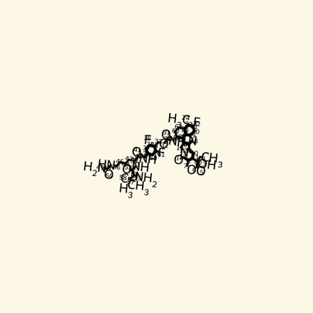 CC[C@@]1(O)C(=O)OCc2c1cc1n(c2=O)Cc2c-1nc1cc(F)c(C)c3c1c2[C@@H](NC(=O)OCc1c(F)cc(NC(=O)[C@H](CCCCNC(N)=O)NC(=O)[C@@H](N)C(C)C)cc1F)CC3